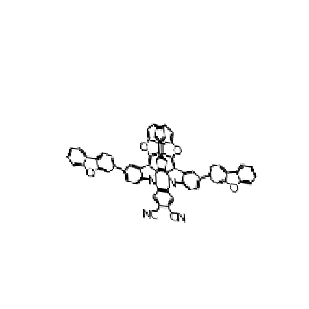 N#Cc1cc(-n2c3ccc(-c4ccc5c(c4)oc4ccccc45)cc3c3c4oc5ccccc5c4ccc32)c(-n2c3ccc(-c4ccc5c(c4)oc4ccccc45)cc3c3c4oc5ccccc5c4ccc32)cc1C#N